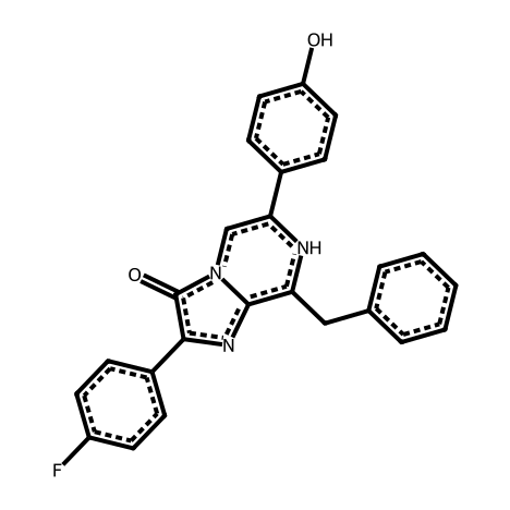 O=c1c(-c2ccc(F)cc2)nc2c(Cc3ccccc3)[nH]c(-c3ccc(O)cc3)cn1-2